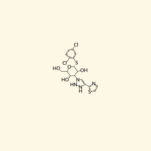 OCC1O[C@H](Sc2cc(Cl)ccc2Cl)C(O)C(N2C=C(c3nccs3)NN2)[C@H]1O